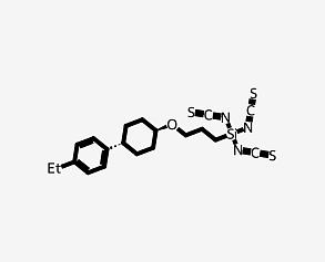 CCc1ccc([C@H]2CC[C@H](OCCC[Si](N=C=S)(N=C=S)N=C=S)CC2)cc1